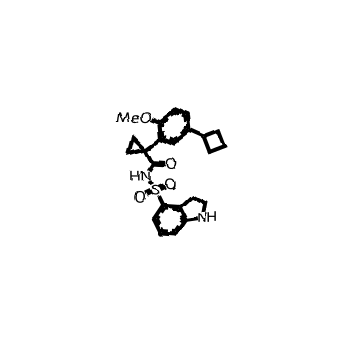 COc1ccc(C2CCC2)cc1C1(C(=O)NS(=O)(=O)c2cccc3c2CCN3)CC1